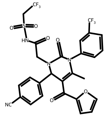 CC1=C(C(=O)c2ccco2)C(c2ccc(C#N)cc2)N(CC(=O)NS(=O)(=O)CC(F)(F)F)C(=O)N1c1cccc(C(F)(F)F)c1